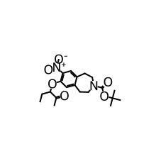 CCC(Oc1cc2c(cc1[N+](=O)[O-])CCN(C(=O)OC(C)(C)C)CC2)C(C)=O